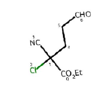 CCOC(=O)C(Cl)(C#N)CCC=O